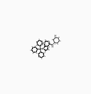 c1ccc(C(c2ccccc2)(c2ccccc2)n2ccc3c(N[C@@H]4CCCNC4)ncnc32)cc1